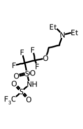 CCN(CC)CCOC(F)(F)C(F)(F)S(=O)(=O)NS(=O)(=O)C(F)(F)F